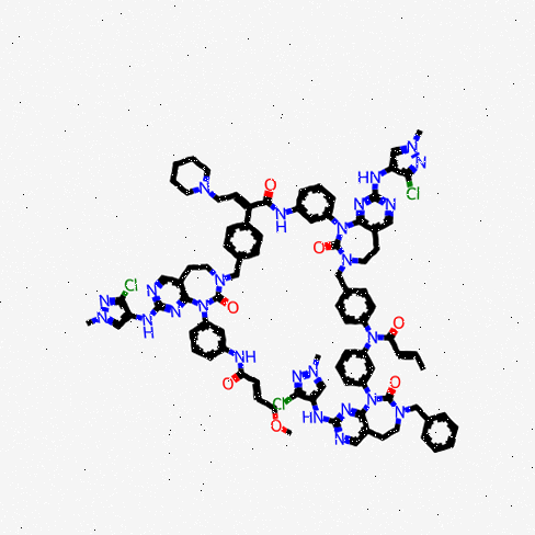 C/C=C/C(=O)N(c1ccc(CN2CCc3cnc(Nc4cn(C)nc4Cl)nc3N(c3cccc(NC(=O)/C(=C/CN4CCCCC4)c4ccc(CN5CCc6cnc(Nc7cn(C)nc7Cl)nc6N(c6cccc(NC(=O)/C=C/COC)c6)C5=O)cc4)c3)C2=O)cc1)c1cccc(N2C(=O)N(Cc3ccccc3)CCc3cnc(Nc4cn(C)nc4Cl)nc32)c1